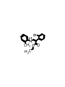 CCOC(=O)C(=CNc1ccccc1C)c1ccccc1Br